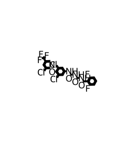 O=C(NC(=O)Nc1cc(Cl)c(Oc2ncc(C(F)(F)F)cc2Cl)c(Cl)c1)NC(=O)c1c(F)cccc1F